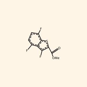 COC(=O)c1sc2c(F)ccc(F)c2c1F